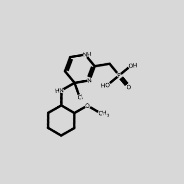 COC1CCCCC1NC1(Cl)C=CNC(CP(=O)(O)O)=N1